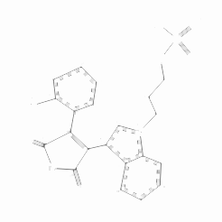 CS(=O)(=O)OCCCn1cc(C2=C(c3ccccc3[N+](=O)[O-])C(=O)NC2=O)c2ccccc21